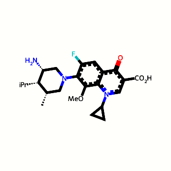 COc1c(N2C[C@@H](N)[C@@H](C(C)C)[C@@H](C)C2)c(F)cc2c(=O)c(C(=O)O)cn(C3CC3)c12